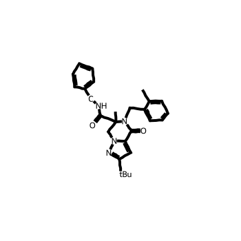 Cc1ccccc1CN1C(=O)c2cc(C(C)(C)C)nn2CC1(C)C(=O)NCc1ccccc1